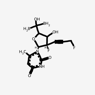 BC(B)(O)C1O[C@@H](n2c(C)cc(=O)[nH]c2=O)[C@@](F)(C#CCF)C1O